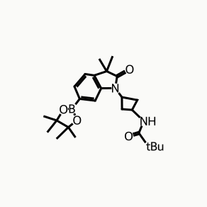 CC(C)(C)C(=O)NC1CC(N2C(=O)C(C)(C)c3ccc(B4OC(C)(C)C(C)(C)O4)cc32)C1